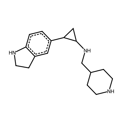 c1cc2c(cc1C1CC1NCC1CCNCC1)CCN2